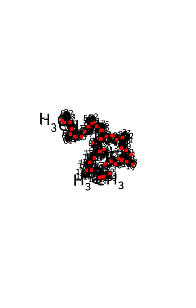 CC1(C)c2ccccc2-c2ccc(-n3c4ccccc4c4ccc(-c5ccc6c(c5)c5ccccc5n6-c5ccc(-c6cc(-c7cccc(-n8c9ccccc9c9cc(-c%10ccc%11c%12ccccc%12n(-c%12ccc%13c(c%12)C(C)(C)c%12ccccc%12-%13)c%11c%10)ccc98)c7)nc(-c7cccc(-n8c9ccccc9c9cc(-c%10ccc%11c%12ccccc%12n(-c%12ccc%13c(c%12)C(C)(C)c%12ccccc%12-%13)c%11c%10)ccc98)c7)n6)cc5)cc43)cc21